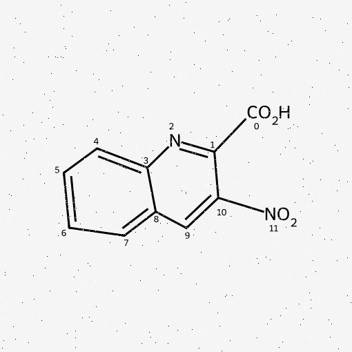 O=C(O)c1nc2ccccc2cc1[N+](=O)[O-]